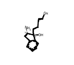 N[C@H]1Cc2ccccc2[C@@]1(O)CCCCO